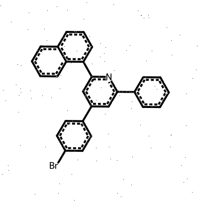 Brc1ccc(-c2cc(-c3ccccc3)nc(-c3cccc4ccccc34)c2)cc1